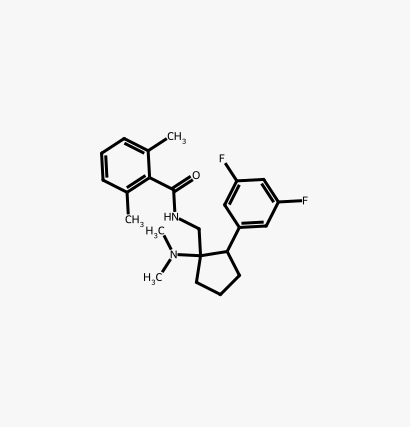 Cc1cccc(C)c1C(=O)NCC1(N(C)C)CCCC1c1cc(F)cc(F)c1